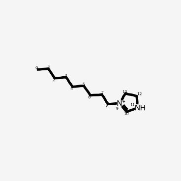 CCCCCCCCC[N+]1=CNCC1